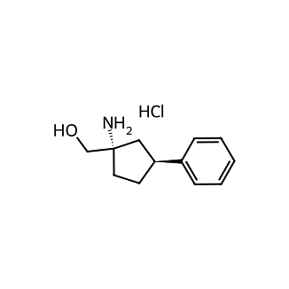 Cl.N[C@@]1(CO)CC[C@H](c2ccccc2)C1